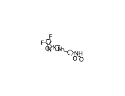 COCC(=O)NC1CCC(CCN2CCN(c3noc4c(F)cc(F)cc34)CC2)CC1